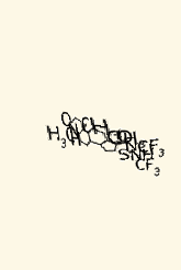 CN1C(=O)CC[C@]2(C)C3CC[C@]4(C)C(C(=O)N(CC(F)(F)F)C(=S)NCC(F)(F)F)CCC4C3CC[C@@H]12